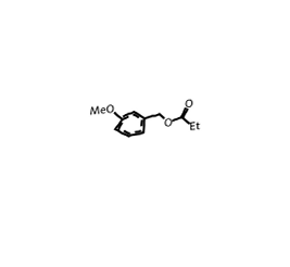 CCC(=O)OCc1cccc(OC)c1